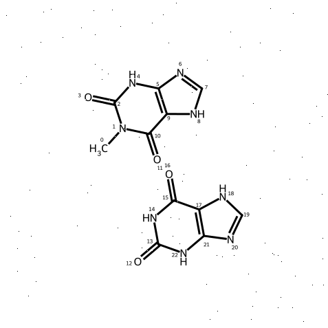 Cn1c(=O)[nH]c2nc[nH]c2c1=O.O=c1[nH]c(=O)c2[nH]cnc2[nH]1